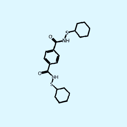 O=C(NSC1CCCCC1)c1ccc(C(=O)NSC2CCCCC2)cc1